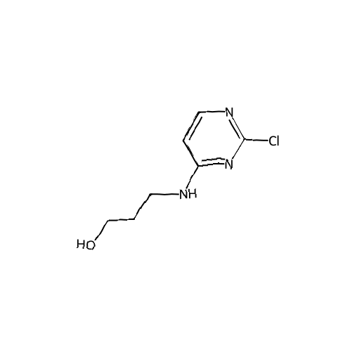 OCCCNc1ccnc(Cl)n1